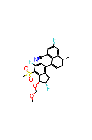 COCO[C@H]1c2c(c(C3=CC[C@@H](C)c4cc(F)cc(C#N)c43)cc(F)c2S(C)(=O)=O)C[C@H]1F